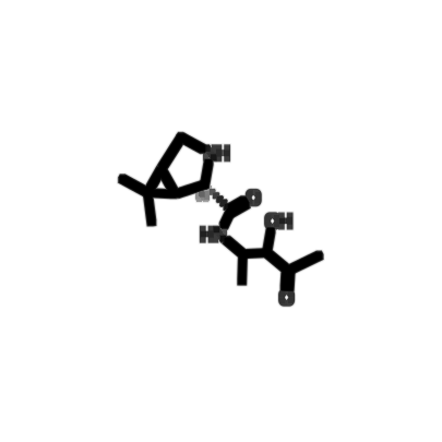 CC(=O)C(O)C(C)NC(=O)[C@H]1NCC2C1C2(C)C